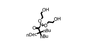 CCCCCCCCCCC(CCCC)(CCCC)C(=O)N(OCCO)OCCO